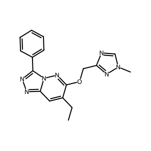 CCc1cc2nnc(-c3ccccc3)n2nc1OCc1ncn(C)n1